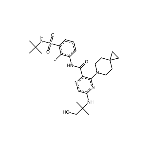 CC(C)(C)NS(=O)(=O)c1cccc(NC(=O)c2ncc(NC(C)(C)CO)nc2N2CCC3(CC2)CC3)c1F